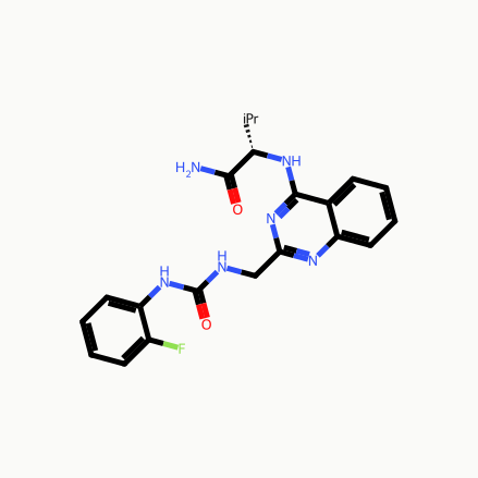 CC(C)[C@H](Nc1nc(CNC(=O)Nc2ccccc2F)nc2ccccc12)C(N)=O